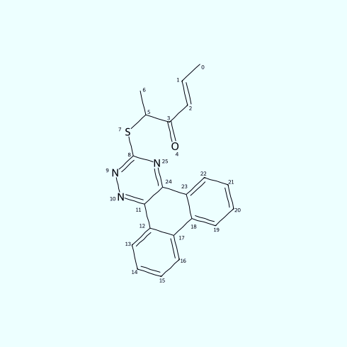 C/C=C/C(=O)C(C)Sc1nnc2c3ccccc3c3ccccc3c2n1